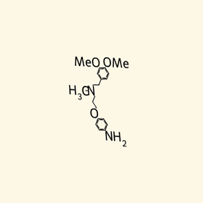 COc1ccc(CCN(C)CCCOc2ccc(N)cc2)cc1OC